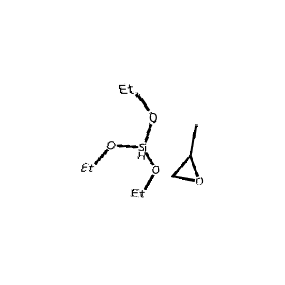 CC1CO1.CCO[SiH](OCC)OCC